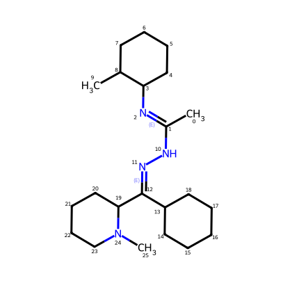 C/C(=N\C1CCCCC1C)N/N=C(\C1CCCCC1)C1CCCCN1C